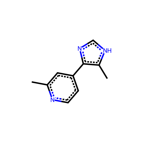 Cc1cc(-c2nc[nH]c2C)ccn1